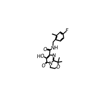 Cc1cc(F)ccc1CNC(=O)c1nc2n(c(=O)c1O)CCOC2(C)C